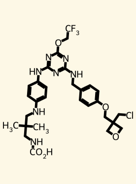 CC(C)(CNC(=O)O)CNc1ccc(Nc2nc(NCc3ccc(OCC4(CCl)COC4)cc3)nc(OCC(F)(F)F)n2)cc1